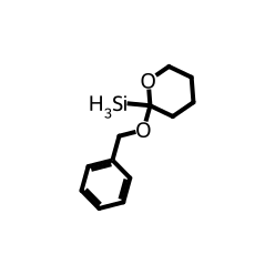 [SiH3]C1(OCc2ccccc2)CCCCO1